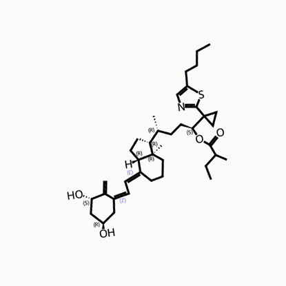 C=C1/C(=C\C=C2/CCC[C@]3(C)[C@@H]([C@H](C)CC[C@H](OC(=O)C(C)CC)C4(c5ncc(CCCC)s5)CC4)CC[C@@H]23)C[C@@H](O)C[C@@H]1O